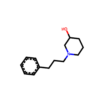 OC1CCCN(CCCc2ccccc2)C1